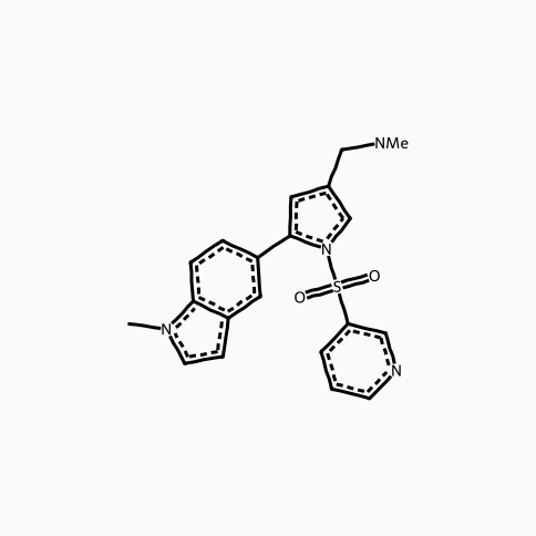 CNCc1cc(-c2ccc3c(ccn3C)c2)n(S(=O)(=O)c2cccnc2)c1